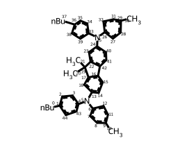 CCCCc1ccc(N(c2ccc(C)cc2)c2ccc3c(c2)C(C)(C)c2cc(N(c4ccc(C)cc4)c4ccc(CCCC)cc4)ccc2-3)cc1